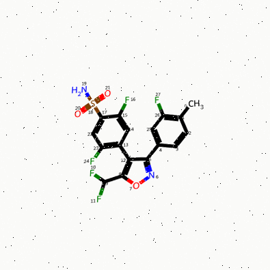 Cc1ccc(-c2noc(C(F)F)c2-c2cc(F)c(S(N)(=O)=O)cc2F)cc1F